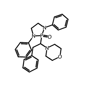 O=P1(C(Cc2ccccc2)N2CCOCC2)N(c2ccccc2)CCN1c1ccccc1